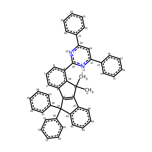 CC1(C)C2=C(c3cccc(-c4nc(-c5ccccc5)cc(-c5ccccc5)n4)c31)C(c1ccccc1)(c1ccccc1)c1ccccc12